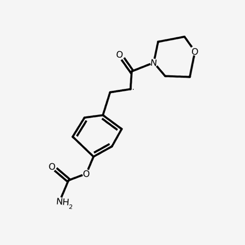 NC(=O)Oc1ccc(C[CH]C(=O)N2CCOCC2)cc1